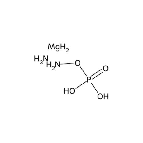 N.NOP(=O)(O)O.[MgH2]